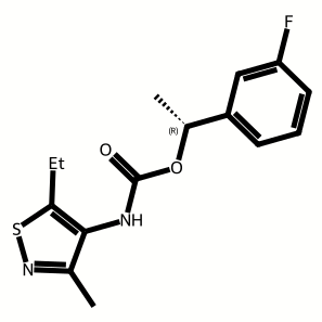 CCc1snc(C)c1NC(=O)O[C@H](C)c1cccc(F)c1